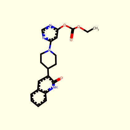 CCOC(=O)Oc1cc(N2CCC(c3cc4ccccc4[nH]c3=O)CC2)ncn1